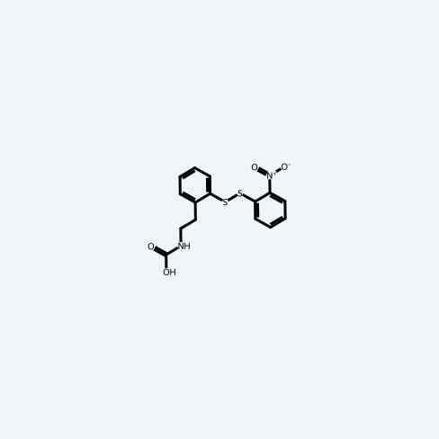 O=C(O)NCCc1ccccc1SSc1ccccc1[N+](=O)[O-]